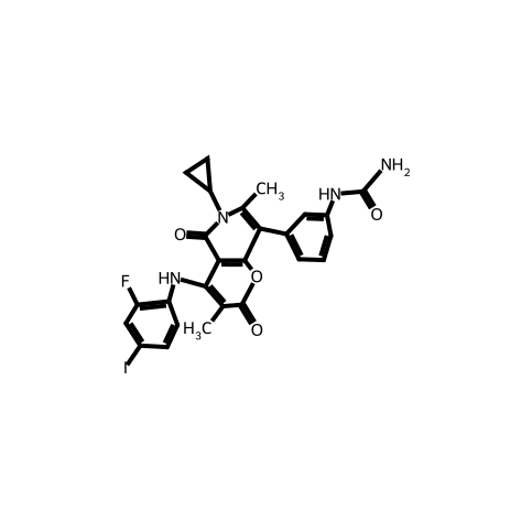 Cc1c(Nc2ccc(I)cc2F)c2c(=O)n(C3CC3)c(C)c(-c3cccc(NC(N)=O)c3)c2oc1=O